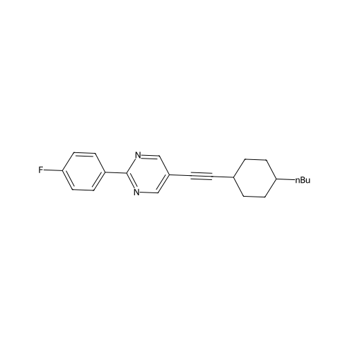 CCCCC1CCC(C#Cc2cnc(-c3ccc(F)cc3)nc2)CC1